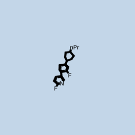 CCCC1CCC(c2ccc(-c3ccc(F)nc3)c(F)c2)CC1